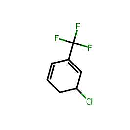 FC(F)(F)C1=CC(Cl)CC=C1